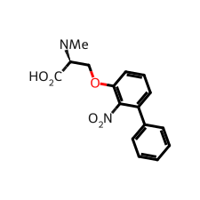 CN[C@@H](COc1cccc(-c2ccccc2)c1[N+](=O)[O-])C(=O)O